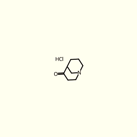 Cl.O=C1CCN2CCCC1C2